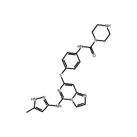 Cc1cc(Nc2nc(Sc3ccc(NC(=O)N4CCNCC4)cc3)cc3nccn23)n[nH]1